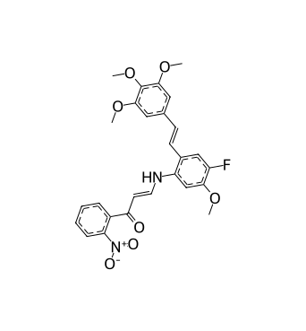 COc1cc(NC=CC(=O)c2ccccc2[N+](=O)[O-])c(C=Cc2cc(OC)c(OC)c(OC)c2)cc1F